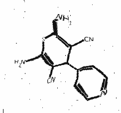 N#CC1=C(N)SC(N)=C(C#N)C1c1ccncc1